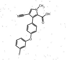 Cn1cc(C#N)c(-c2ccc(Oc3cccc(F)c3)cc2)c1C(=O)O